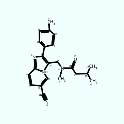 Cc1ccc(-c2nc3ccc(C#N)cn3c2CN(C)C(=O)CC(C)C)cc1